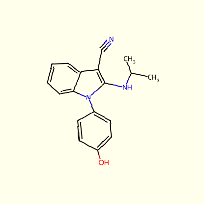 CC(C)Nc1c(C#N)c2ccccc2n1-c1ccc(O)cc1